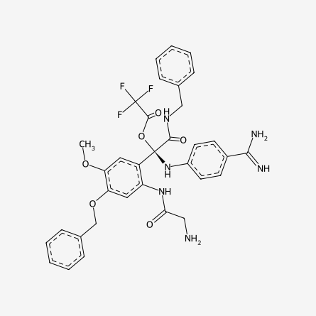 COc1cc([C@](Nc2ccc(C(=N)N)cc2)(OC(=O)C(F)(F)F)C(=O)NCc2ccccc2)c(NC(=O)CN)cc1OCc1ccccc1